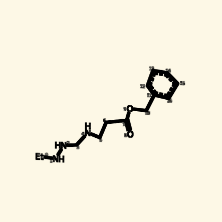 CCNNCNCCC(=O)OCc1ccccc1